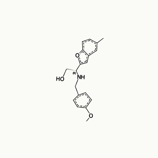 COc1ccc(CN[C@H](CO)c2cc3cc(C)ccc3o2)cc1